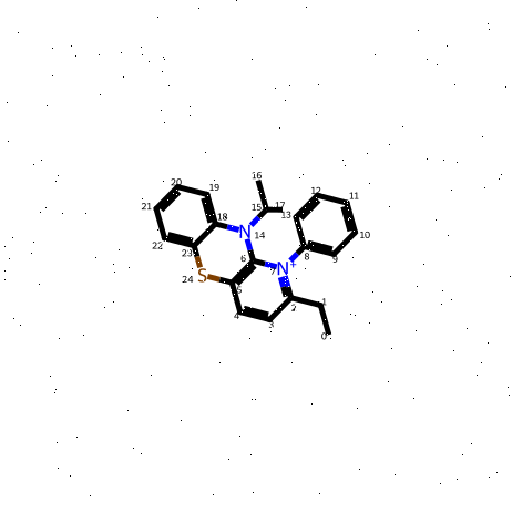 CCc1ccc2c([n+]1-c1ccccc1)N(C(C)C)c1ccccc1S2